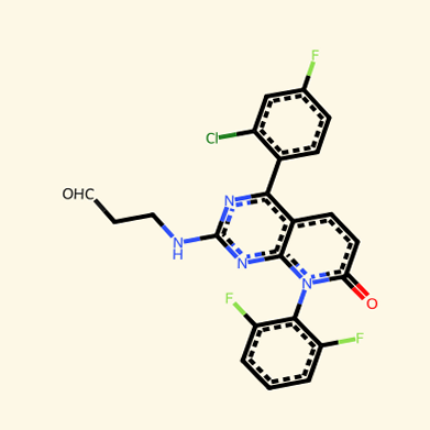 O=CCCNc1nc(-c2ccc(F)cc2Cl)c2ccc(=O)n(-c3c(F)cccc3F)c2n1